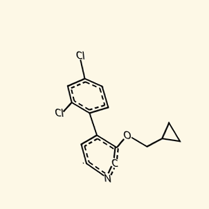 Clc1ccc(-c2c[c]ncc2OCC2CC2)c(Cl)c1